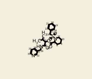 CC(C)C(OC(=O)C1CCCCN1S(=O)(=O)Cc1ccccc1)C(=O)NCc1cccnc1